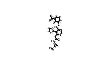 O=C(Cc1ncnc(NOc2cccc(C(F)F)c2F)c1C1OCCO1)N[C@H]1C[C@@H]1C(F)F